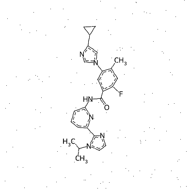 Cc1cc(F)c(C(=O)Nc2cccc(-c3nccn3C(C)C)n2)cc1-n1cnc(C2CC2)c1